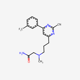 CN(CCCc1cc(-c2cccc(C(F)(F)F)c2)nc(C#N)n1)CC(N)=O